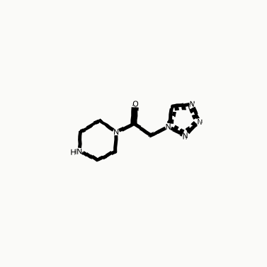 O=C(Cn1cnnn1)N1CCNCC1